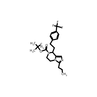 CCCc1ncc2n1CCN(C(=O)OC(C)(C)C)C2CCc1ccc(C(F)(F)F)cc1